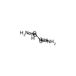 NCc1ccc(CNC(=O)OCC#CC#CCOC(=O)NCc2ccc(CN)cc2)cc1